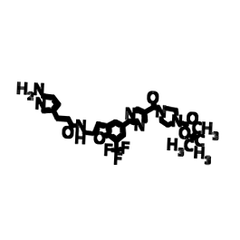 CC(C)(C)OC(=O)N1CCN(C(=O)c2cnc(-c3cc(C(F)(F)F)c4oc(CNC(=O)C=Cc5ccc(N)nc5)cc4c3)nc2)CC1